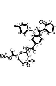 CC(C)(C)OC(=O)N1CCS(=O)(=O)CC(NC(=O)c2ccc3c(-c4ccccc4Cl)nn(-c4ccc(F)cc4)c3c2)C1